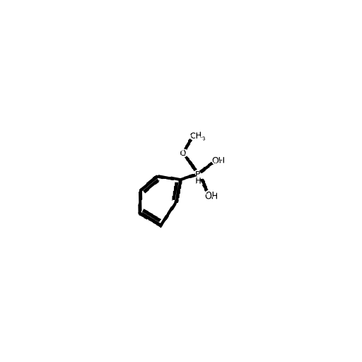 CO[PH](O)(O)c1ccccc1